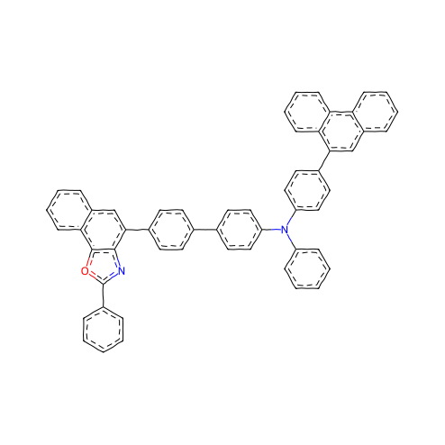 c1ccc(-c2nc3c(-c4ccc(-c5ccc(N(c6ccccc6)c6ccc(-c7cc8ccccc8c8ccccc78)cc6)cc5)cc4)cc4ccccc4c3o2)cc1